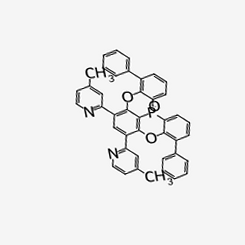 Cc1ccnc(-c2cc(-c3cc(C)ccn3)c3c4c2Oc2c(-c5ccccc5)cccc2P4(=O)c2cccc(-c4ccccc4)c2O3)c1